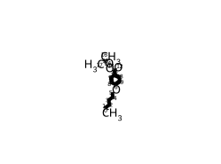 CCCCCCOc1ccc(C(=O)OO[C](C)C)cc1